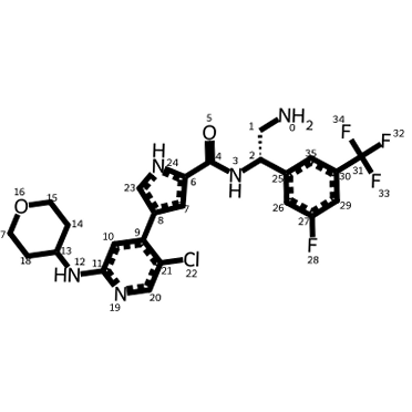 NC[C@@H](NC(=O)c1cc(-c2cc(NC3CCOCC3)ncc2Cl)c[nH]1)c1cc(F)cc(C(F)(F)F)c1